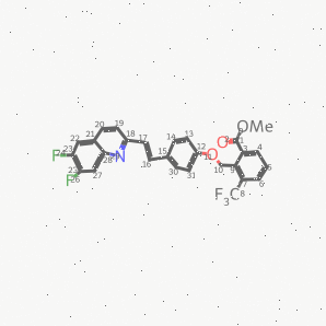 COC(=O)c1cccc(C(F)(F)F)c1COc1ccc(C=Cc2ccc3cc(F)c(F)cc3n2)cc1